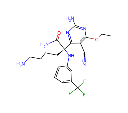 CCOc1nc(N)nc([C@](CCCCN)(Nc2cccc(C(F)(F)F)c2)C(N)=O)c1C#N